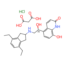 CCc1ccc(CC)c2c1CC(NC[C@@H](O)c1ccc(O)c3[nH]c(=O)ccc13)C2.Cl.O=C(O)CC(=O)O